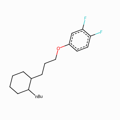 CCCCC1CCCCC1CCCOc1ccc(F)c(F)c1